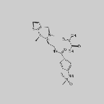 C[C@H]1c2sccc2CN(C)[C@H]1CCNC(=O)c1ccc(NS(C)(=O)=O)cc1.O=C(O)C(=O)O